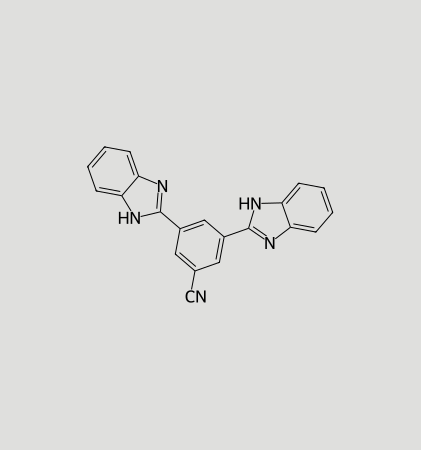 N#Cc1cc(-c2nc3ccccc3[nH]2)cc(-c2nc3ccccc3[nH]2)c1